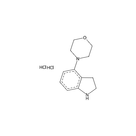 Cl.Cl.c1cc2c(c(N3CCOCC3)c1)CCN2